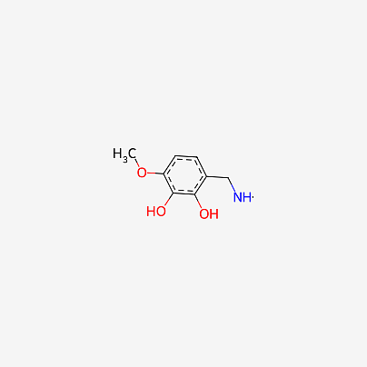 COc1ccc(C[NH])c(O)c1O